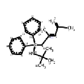 C=C(C)/C=C(\C)C[Si](NC(C)(C)C)(c1ccccc1)c1ccccc1